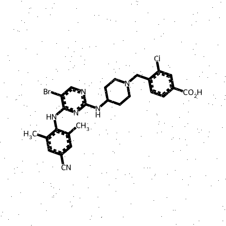 Cc1cc(C#N)cc(C)c1Nc1nc(NC2CCN(Cc3ccc(C(=O)O)cc3Cl)CC2)ncc1Br